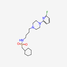 O=S(=O)(CC1CCCCC1)NCCCCN1CCN(c2cccc(F)n2)CC1